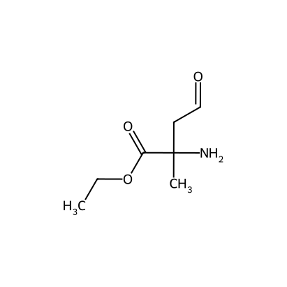 CCOC(=O)C(C)(N)CC=O